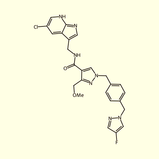 COCc1nn(Cc2ccc(Cn3cc(F)cn3)cc2)cc1C(=O)NCc1cnc2[nH]cc(Cl)cc1-2